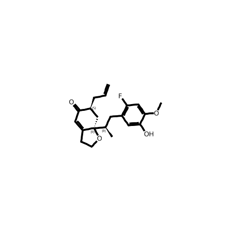 C=CC[C@H]1C[C@]2([C@H](C)Cc3cc(O)c(OC)cc3F)OCCC2=CC1=O